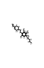 C=CC1CCC(CCc2c(C)cc(OCCCC)c(F)c2F)CC1